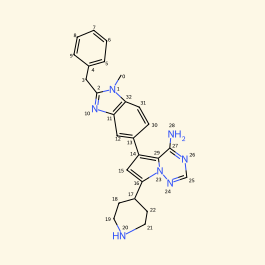 Cn1c(Cc2ccccc2)nc2cc(-c3cc(C4CCNCC4)n4ncnc(N)c34)ccc21